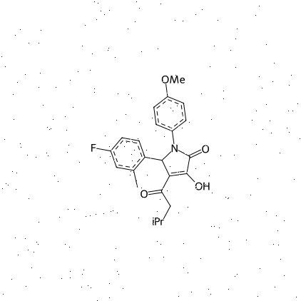 COc1ccc(N2C(=O)C(O)=C(C(=O)CC(C)C)C2c2ccc(F)cc2C)cc1